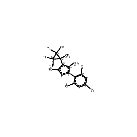 N#Cc1nn(-c2c(Cl)cc(C(F)(F)F)cc2Cl)c(N)c1C1(C(F)(F)F)C(F)(F)C1(F)F